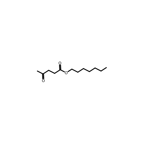 CCCCCCCOC(=O)CCC(C)=O